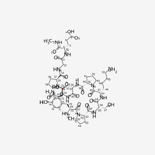 CNC(=O)[C@H](CCC(=O)O)NC(=O)CNC(=O)[C@@H]1CCCN1C(=O)[C@H](CC(N)=O)NC(=O)[C@H](CC(=O)O)NC(=O)[C@@H]1CCCN1C(=O)[C@H](CCCCN)NC(=O)[C@H](CO)NC(=O)[C@@H]1CCCN1C(=O)[C@H](Cc1ccc(O)cc1)NC